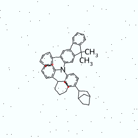 CC1(C)c2ccccc2-c2cc(-c3ccccc3)c(N(c3ccc(C4CC5CCC4C5)cc3)c3ccccc3C3CCCCC3)cc21